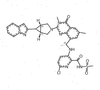 Cc1cc([C@@H](C)Nc2ccc(Cl)nc2C(=O)NS(C)(=O)=O)c2nc(N3C[C@@H]4C(c5cc6ccccn6n5)[C@@H]4C3)n(C)c(=O)c2c1